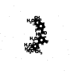 Cc1c(NC(=O)c2ccc3c(c2F)CC(C)(C)C3)cc(F)cc1B1OC(C)(C)C(C)(C)O1